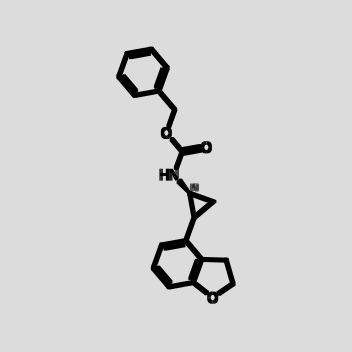 O=C(N[C@H]1CC1c1cccc2c1CCO2)OCc1ccccc1